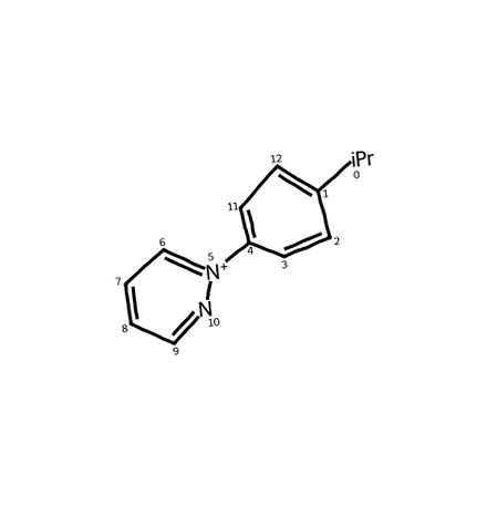 CC(C)c1ccc(-[n+]2ccccn2)cc1